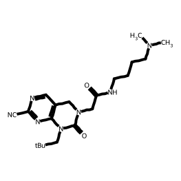 CN(C)CCCCNC(=O)CN1Cc2cnc(C#N)nc2N(CC(C)(C)C)C1=O